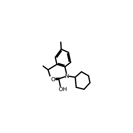 Cc1ccc(N(C(=O)O)C2CCCCC2)c(C(C)C)c1